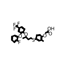 Cc1cc(SCCC(C)Oc2ccc(C(F)(F)F)cc2Oc2ccccc2F)ccc1OCC(=O)O